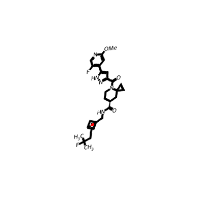 COc1cc(-c2cc(C(=O)N3CC[C@H](C(=O)NCC45CC(C4)N(CC(C)(C)F)C5)CC34CC4)n[nH]2)c(F)cn1